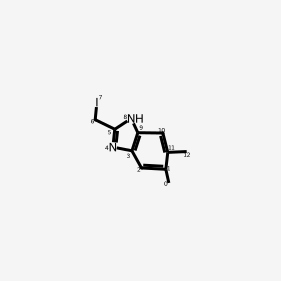 Cc1cc2nc(CI)[nH]c2cc1C